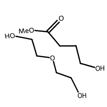 COC(=O)CCCO.OCCOCCO